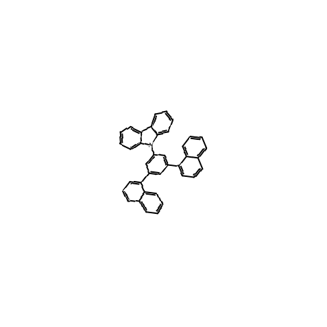 c1ccc2c(-c3cc(-c4cccc5ccccc45)cc(-n4c5ccccc5c5ccccc54)c3)cccc2c1